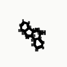 c1ccc2c3n[nH]c4ccccc4c-3nc2c1